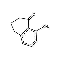 Cc1cccc2c1C(=O)CCC2